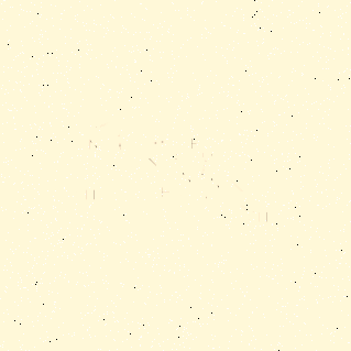 C=C/C=C(\N(C)C(=O)N(C)c1cc(Oc2cccnc2CCC)ccc1F)C(F)(F)F